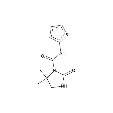 CC1(C)CNC(=O)N1C(=O)Nc1cccs1